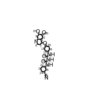 COc1cc2nccc(Oc3ccc(NC(=O)NC(=O)Nc4cccc(C#N)c4)cc3)c2cc1OC